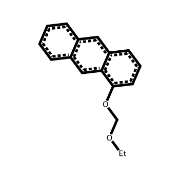 CCOCOc1cccc2cc3ccccc3cc12